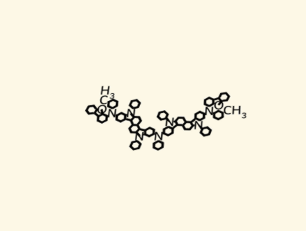 Cc1cccc(N(c2ccc3c4c5ccc6c(c5ccc4n(-c4ccccc4)c3c2)c2ccc(N(c3ccccc3)c3ccc4c5c7ccc8c(c7ccc5n(-c5ccccc5)c4c3)c3ccc(N(c4cccc(C)c4)c4cccc5c4oc4ccccc45)cc3n8-c3ccccc3)cc2n6-c2ccccc2)c2cccc3c2oc2ccccc23)c1